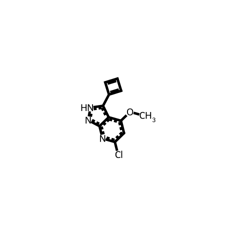 COc1cc(Cl)nc2n[nH]c(C3=CC=C3)c12